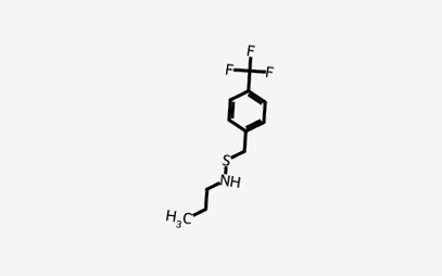 CCCNSCc1ccc(C(F)(F)F)cc1